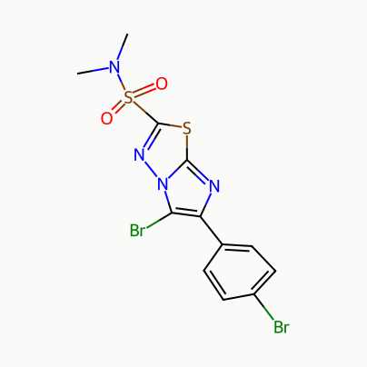 CN(C)S(=O)(=O)c1nn2c(Br)c(-c3ccc(Br)cc3)nc2s1